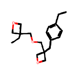 CCc1ccc(CC2(COCC3(CC)COC3)COC2)cc1